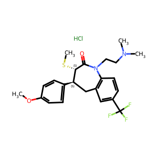 COc1ccc([C@@H]2Cc3cc(C(F)(F)F)ccc3N(CCN(C)C)C(=O)[C@H]2SC)cc1.Cl